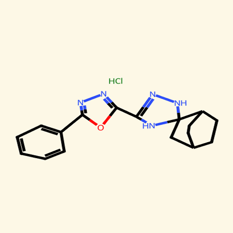 Cl.c1ccc(-c2nnc(C3=NNC4(CC5CCC4CC5)N3)o2)cc1